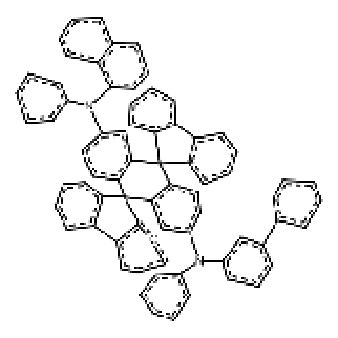 c1ccc(-c2cccc(N(c3ccccc3)c3ccc4c(c3)C3(c5ccccc5-c5ccccc53)c3ccc(N(c5ccccc5)c5cccc6ccccc56)cc3C43c4ccccc4-c4ccccc43)c2)cc1